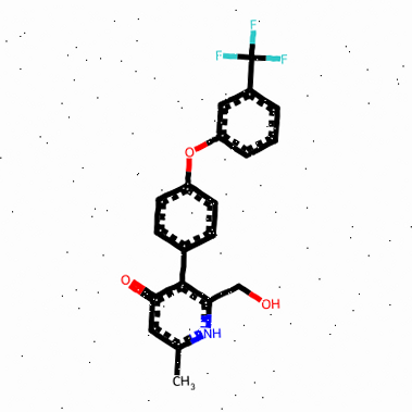 Cc1cc(=O)c(-c2ccc(Oc3cccc(C(F)(F)F)c3)cc2)c(CO)[nH]1